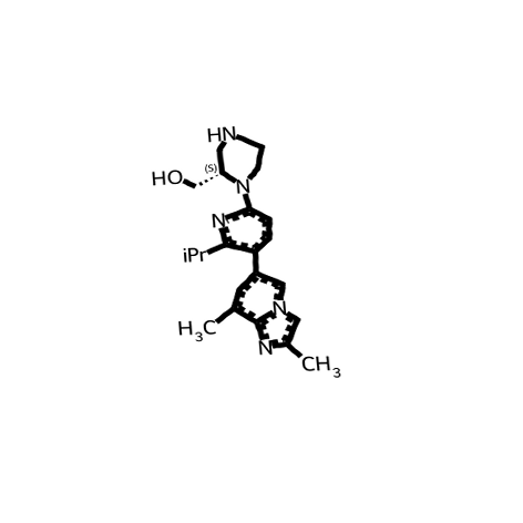 Cc1cn2cc(-c3ccc(N4CCNC[C@H]4CO)nc3C(C)C)cc(C)c2n1